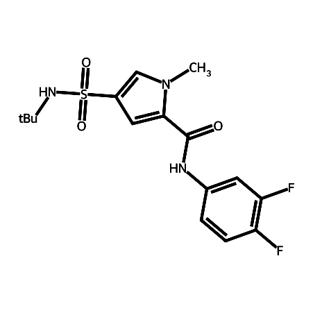 Cn1cc(S(=O)(=O)NC(C)(C)C)cc1C(=O)Nc1ccc(F)c(F)c1